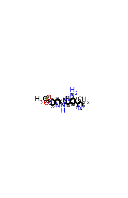 Cc1ccncc1-c1cc(N)c2nnc(Nc3ccc4c(n3)CCN(S(C)(=O)=O)C4)cc2c1